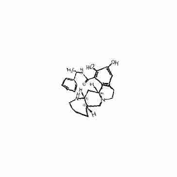 CC(NC(=O)c1c(O)c(O)cc2c1[C@H]1C[C@H]3NCCC[C@H]3CN1CC2)c1ccccc1